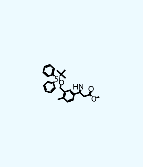 COC(=O)CC(=N)c1ccc(C)c(CO[Si](c2ccccc2)(c2ccccc2)C(C)(C)C)c1